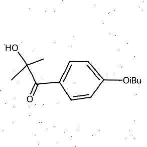 CC(C)COc1ccc(C(=O)C(C)(C)O)cc1